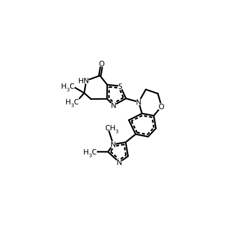 Cc1ncc(-c2ccc3c(c2)N(c2nc4c(s2)C(=O)NC(C)(C)C4)CCO3)n1C